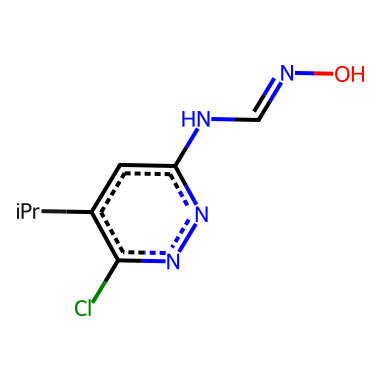 CC(C)c1cc(NC=NO)nnc1Cl